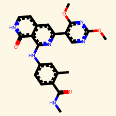 CNC(=O)c1ccc(Nc2nc(-c3cnc(OC)nc3OC)cc3cc[nH]c(=O)c23)cc1C